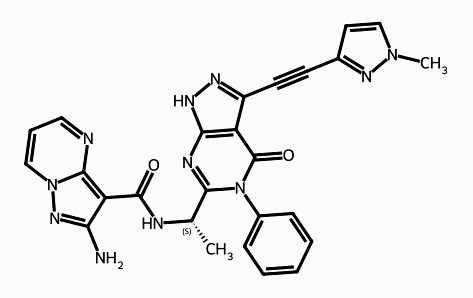 C[C@H](NC(=O)c1c(N)nn2cccnc12)c1nc2[nH]nc(C#Cc3ccn(C)n3)c2c(=O)n1-c1ccccc1